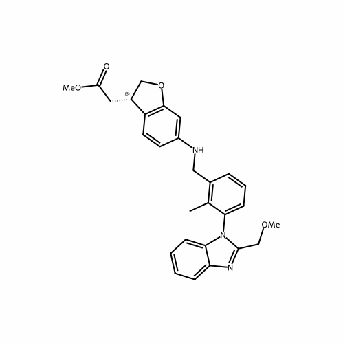 COCc1nc2ccccc2n1-c1cccc(CNc2ccc3c(c2)OC[C@H]3CC(=O)OC)c1C